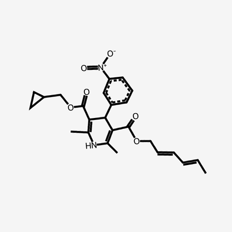 CC=CC=CCOC(=O)C1=C(C)NC(C)=C(C(=O)OCC2CC2)C1c1cccc([N+](=O)[O-])c1